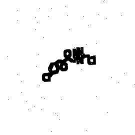 O=C(Cn1nnc(CCl)n1)c1cc2ccc(Cl)cc2o1